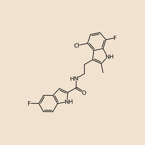 Cc1[nH]c2c(F)ccc(Cl)c2c1CCNC(=O)c1cc2cc(F)ccc2[nH]1